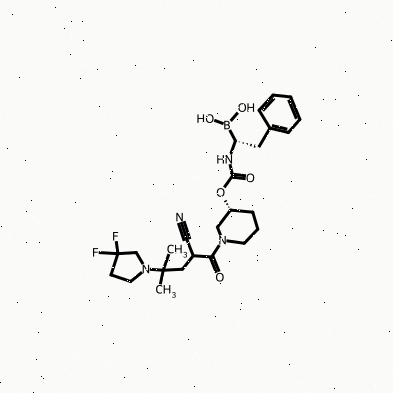 CC(C)(CC(C#N)C(=O)N1CCC[C@@H](OC(=O)N[C@@H](Cc2ccccc2)B(O)O)C1)N1CCC(F)(F)C1